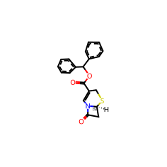 O=C(OC(c1ccccc1)c1ccccc1)C1=CN2C(=O)C[C@@H]2SC1